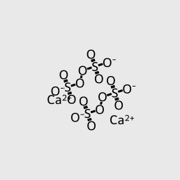 O=S(=O)([O-])OOS(=O)(=O)[O-].O=S(=O)([O-])OOS(=O)(=O)[O-].[Ca+2].[Ca+2]